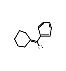 N#CC(=C1CCCCC1)c1ccccc1